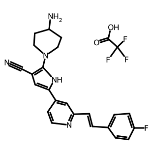 N#Cc1cc(-c2ccnc(C=Cc3ccc(F)cc3)c2)[nH]c1N1CCC(N)CC1.O=C(O)C(F)(F)F